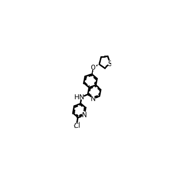 Clc1ccc(Nc2nccc3cc(O[C@@H]4CCSC4)ccc23)cn1